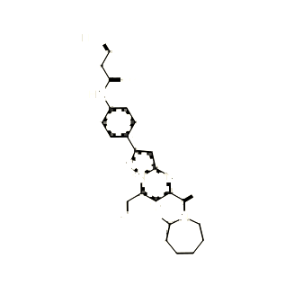 C=CCC(=O)Nc1ccc(-c2cc3nc(C(=O)N4CCCCCC4C)cc(CC)n3n2)cc1